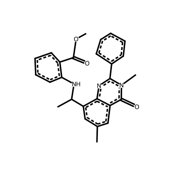 COC(=O)c1ccccc1NC(C)c1cc(C)cc2c(=O)n(C)c(-c3ccccc3)nc12